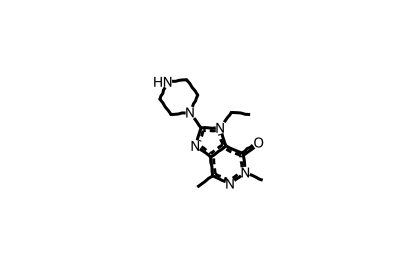 CCn1c(N2CCNCC2)nc2c(C)nn(C)c(=O)c21